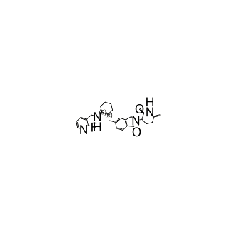 C=C1CCC(N2Cc3cc(C[C@H]4CCCC[C@@H]4NCc4cccnc4F)ccc3C2=O)C(=O)N1